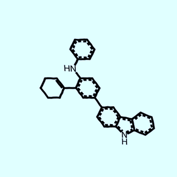 C1=C(c2cc(-c3ccc4[nH]c5ccccc5c4c3)ccc2Nc2ccccc2)CCCC1